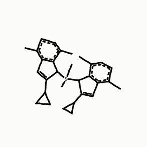 Cc1ccc(C)c2c1C=C(C1CC1)C2S(C)(C)C1C(C2CC2)=Cc2c(C)ccc(C)c21